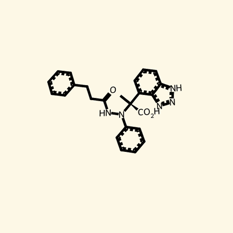 C[C@](C(=O)O)(c1cccc2[nH]nnc12)N(NC(=O)CCc1ccccc1)c1ccccc1